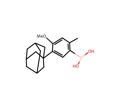 COc1cc(C)c(B(O)O)cc1C12CC3CC(CC(C3)C1)C2